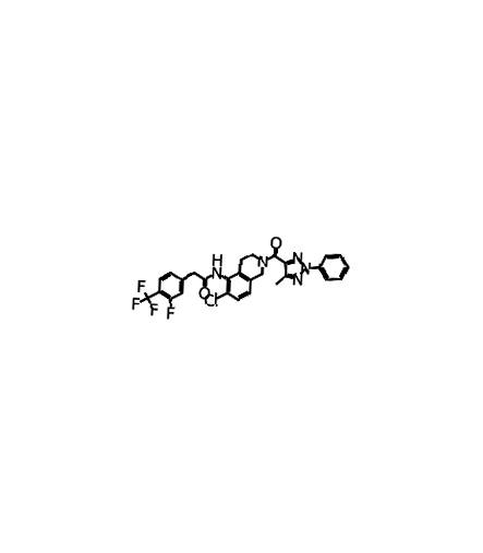 Cc1nn(-c2ccccc2)nc1C(=O)N1CCc2c(ccc(Cl)c2NC(=O)Cc2ccc(C(F)(F)F)c(F)c2)C1